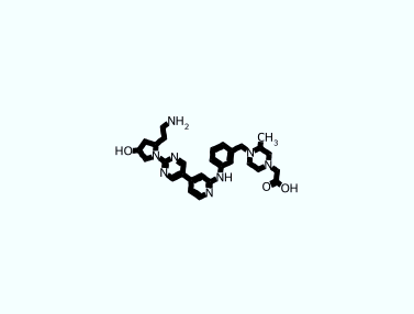 CC1CN(CC(=O)O)CCN1Cc1cccc(Nc2cc(-c3cnc(N4CC(O)CC4CCN)nc3)ccn2)c1